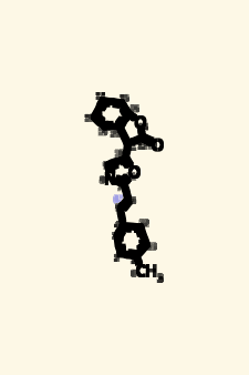 Cc1ccc(/C=C/c2ncc(C3C(=O)Oc4ccccc43)o2)cc1